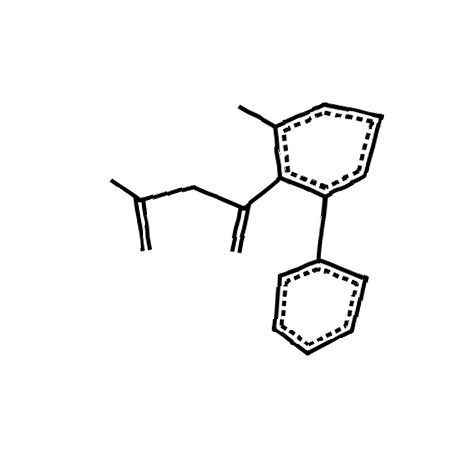 C=C(C)CC(=C)c1c(C)cccc1-c1ccccc1